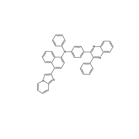 c1ccc(-c2nc3ccccc3nc2-c2ccc(N(c3ccccc3)c3ccc(-c4cn5ccccc5n4)c4ccccc34)cc2)cc1